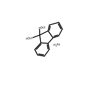 CCCCCCCCC1(CCCCCCCC)c2ccccc2-c2ccccc21.[PoH2]